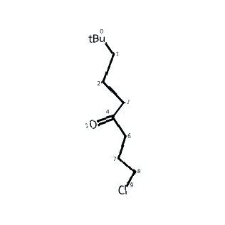 CC(C)(C)CCCC(=O)CCCCl